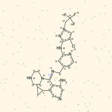 Nc1cncc(C2CC2)c1/C(=N\Cc1ccnc(Nc2nn(CC(F)(F)F)cc2Cl)c1)N1CCNCC1